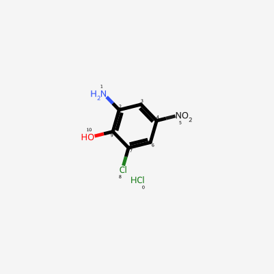 Cl.Nc1cc([N+](=O)[O-])cc(Cl)c1O